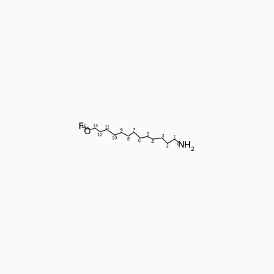 NCCCCCCCCCCCCCOF